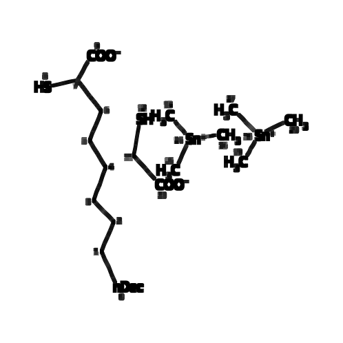 CCCCCCCCCCCCCCCCC(S)C(=O)[O-].O=C([O-])CS.[CH3][Sn+]([CH3])[CH3].[CH3][Sn+]([CH3])[CH3]